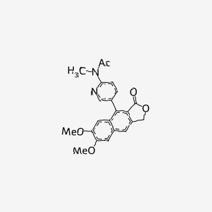 COc1cc2cc3c(c(-c4ccc(N(C)C(C)=O)nc4)c2cc1OC)C(=O)OC3